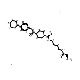 C=CC(=O)OCCCCOC(=O)C1CCC(C(=O)Oc2ccc(C3CCCCC3)cc2)CC1